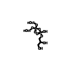 CCCCCCCCOP(=O)(OCCCCCCCC)OP(=O)(O)OCC(O)CO